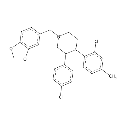 Cc1ccc(N2CCN(Cc3ccc4c(c3)OCO4)CC2c2ccc(Cl)cc2)c(Cl)c1